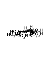 C[C@H](CS)NC(=O)[C@H](CC(=O)O)NC(=O)[C@H](CC(=O)O)NC(=O)Cc1ccc(CNC(=O)NCCCC[C@H](NC(=O)C[C@@H](CCC(=O)O)C(=O)O)C(=O)O)cc1